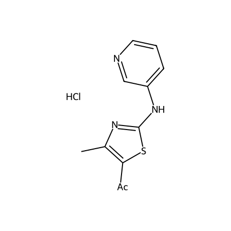 CC(=O)c1sc(Nc2cccnc2)nc1C.Cl